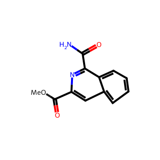 COC(=O)c1cc2ccccc2c(C(N)=O)n1